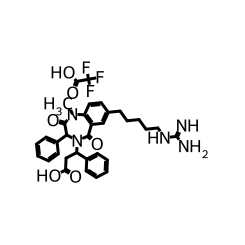 CN1C(=O)C(c2ccccc2)N(C(CC(=O)O)c2ccccc2)C(=O)c2cc(CCCCCNC(=N)N)ccc21.O=C(O)C(F)(F)F